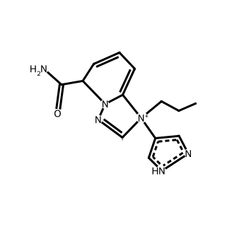 CCC[N+]1(c2cn[nH]c2)[C]=NN2C1=CC=CC2C(N)=O